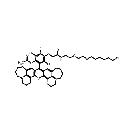 CC(=O)Oc1c(Cl)c(Cl)c(SCC(=O)NCCOCCOCCCCCCCl)c(Cl)c1C1=c2cc3c4c(c2Oc2c1cc1c5c2CCCN5CCCC1)CCC[N+]=4CCCC3